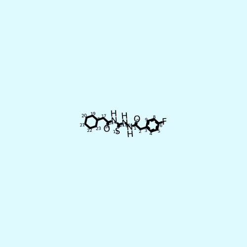 O=C(Cc1ccc(F)cc1)NNC(=S)NC(=O)CC1CCCCC1